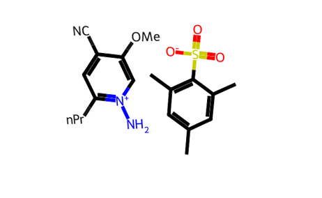 CCCc1cc(C#N)c(OC)c[n+]1N.Cc1cc(C)c(S(=O)(=O)[O-])c(C)c1